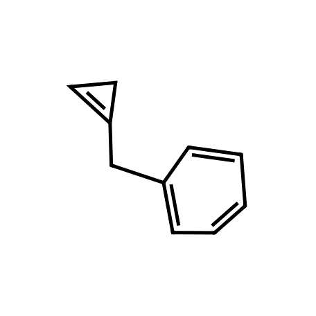 C1=C(Cc2ccccc2)C1